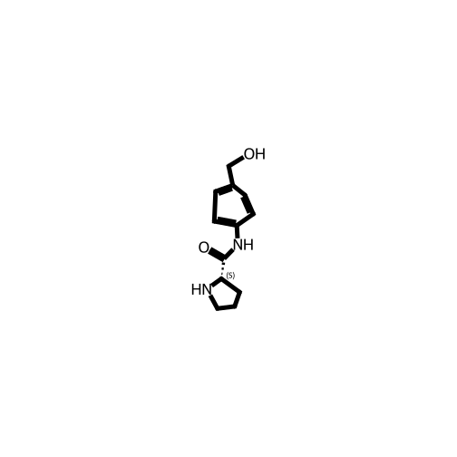 O=C(Nc1ccc(CO)cc1)[C@@H]1CCCN1